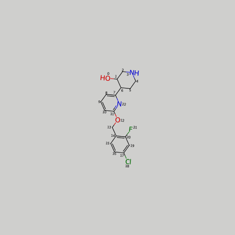 OC1CNCCC1c1cccc(OCc2ccc(Cl)cc2F)n1